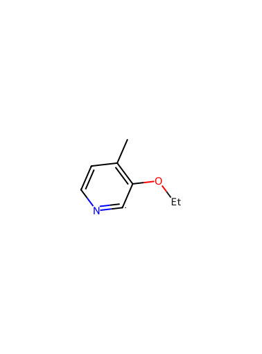 CCOc1[c]nccc1C